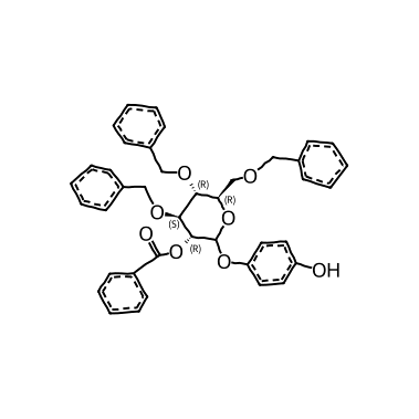 O=C(O[C@H]1C(Oc2ccc(O)cc2)O[C@H](COCc2ccccc2)[C@@H](OCc2ccccc2)[C@@H]1OCc1ccccc1)c1ccccc1